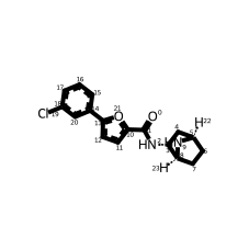 O=C(N[C@@H]1C[C@H]2CC[C@@H]1N2)c1ccc(-c2cccc(Cl)c2)o1